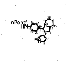 C1CC2CN2C1.CCCCCNc1ccc(C2CCC3CCCCN32)cc1